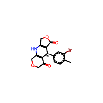 Cc1ccc([C@H]2C3=C(COCC3=O)NC3=C2C(=O)OC3)cc1Br